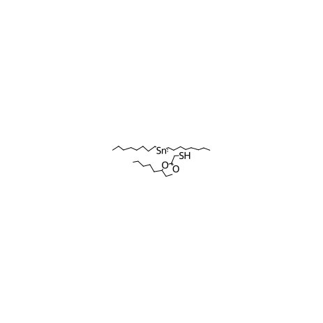 CCCCCC(CC)OC(=O)CS.CCCCCCC[CH2][Sn][CH2]CCCCCCC